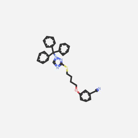 N#Cc1cccc(OCCCCSc2ncn(C(c3ccccc3)(c3ccccc3)c3ccccc3)n2)c1